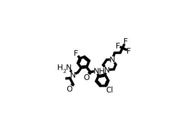 CC(C=O)N(N)Cc1cc(F)ccc1C(=O)Nc1ccc(Cl)cc1N1CCN(CCC(F)(F)F)CC1